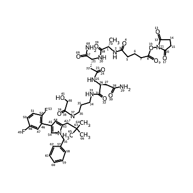 C[C@H](NC(=O)CCCC(=O)ON1C(=O)CCC1=O)C(=O)N[C@H](CC(=O)N[C@@H](CC(N)=O)C(=O)NCCCN(C(=O)CO)[C@@H](c1cc(-c2cc(F)ccc2F)cn1Cc1ccccc1)C(C)(C)C)C(N)=O